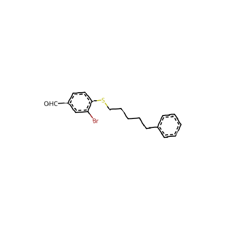 O=Cc1ccc(SCCCCCc2ccccc2)c(Br)c1